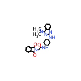 CN(C)c1nc(N[C@H]2CC[C@@H](NC(=O)CN3C(=O)c4ccccc4C3=O)CC2)nc2ccccc12